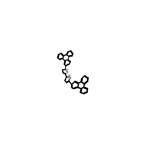 C1=C(c2ccc3c4ccccc4c4ccccc4c3c2)SC(C2CCC(c3ccc4c5ccccc5c5ccccc5c4c3)S2)C1